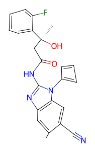 Cc1cc2nc(NC(=O)C[C@](C)(O)c3ccccc3F)n(C3=CC=C3)c2cc1C#N